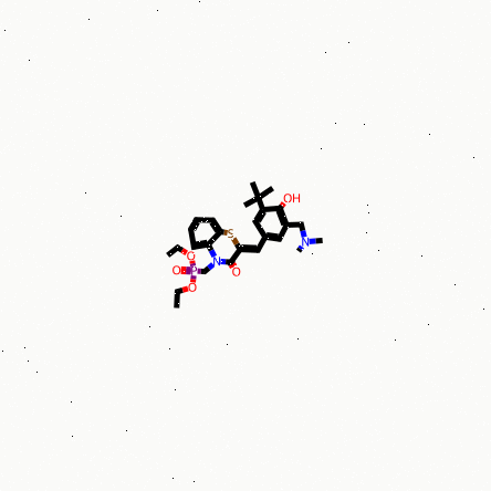 CCOP(=O)(CN1C(=O)C(=Cc2cc(CN(C)C)c(O)c(C(C)(C)C)c2)Sc2ccccc21)OCC